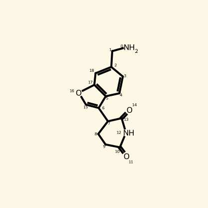 NCc1ccc2c(C3CCC(=O)NC3=O)coc2c1